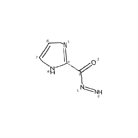 N=NC(=O)c1ncc[nH]1